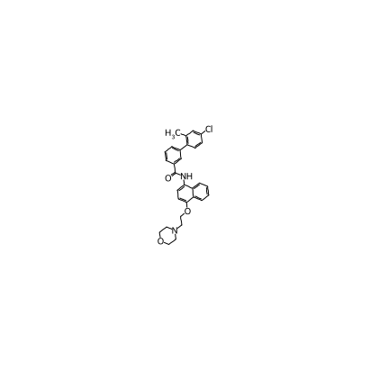 Cc1cc(Cl)ccc1-c1cccc(C(=O)Nc2ccc(OCCN3CCOCC3)c3ccccc23)c1